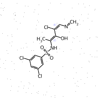 C=N/C=C(Cl)\C(O)=C(/C)NS(=O)(=O)c1cc(Cl)cc(Cl)c1